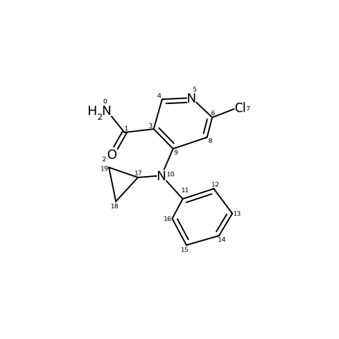 NC(=O)c1cnc(Cl)cc1N(c1ccccc1)C1CC1